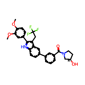 COc1ccc(-c2[nH]c3ccc(-c4cccc(C(=O)N5CC[C@@H](O)C5)c4)cc3c2CC(F)(F)F)cc1OC